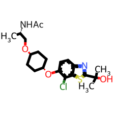 CC(=O)N[C@@H](C)CO[C@H]1CC[C@H](Oc2ccc3nc(C(C)(C)O)sc3c2Cl)CC1